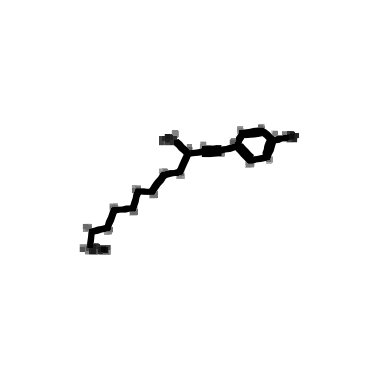 [CH2]CCC(C#Cc1ccc(Br)cc1)CCCCCCCCCCCCCCCCCC